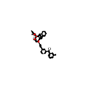 CC#Cc1ccc(C#Cc2cccc(C(=O)c3cccc(C)c3)c2)c2c1C1C(C(=O)OC)=C(C)C2c2ccccc21